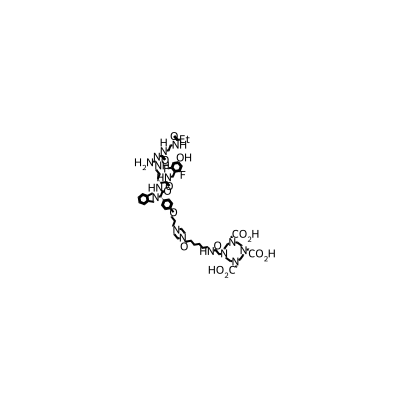 CCC(=O)NCCNC(=O)/N=C(/N)NCCC[C@@H](NC(=O)[C@H](c1ccc(OCCCN2CCN(C(=O)CCCCCNC(=O)CN3CCN(CC(=O)O)CCN(CC(=O)O)CCN(CC(=O)O)CC3)CC2)cc1)N1Cc2ccccc2C1)C(=O)NCc1c(F)cc(O)cc1F